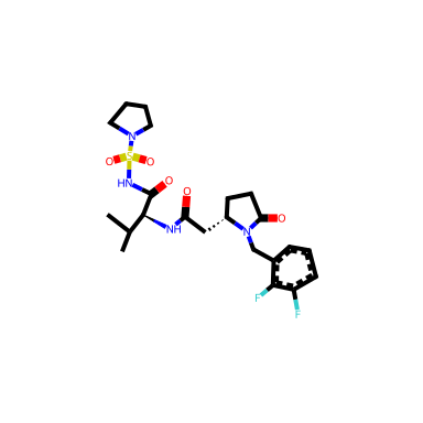 CC(C)[C@H](NC(=O)C[C@@H]1CCC(=O)N1Cc1cccc(F)c1F)C(=O)NS(=O)(=O)N1CCCC1